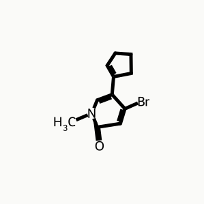 Cn1cc(C2=CCCC2)c(Br)cc1=O